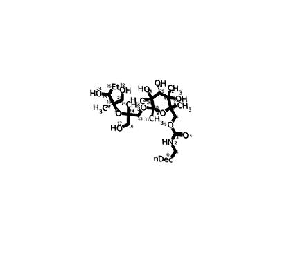 CCCCCCCCCCCNC(=O)OCC1(C)O[C@](C)(OCC(C)(CO)O[C@](C)(CO)C(O)CC)C(C)(O)[C@H](O)[C@]1(C)O